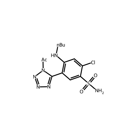 CCCCNc1cc(Cl)c(S(N)(=O)=O)cc1-c1nnnn1C(C)=O